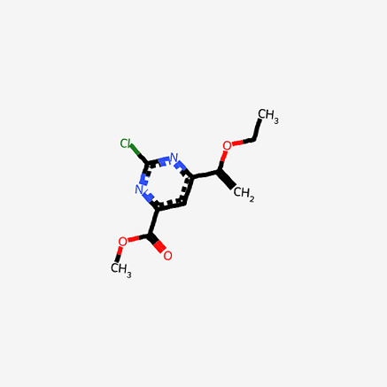 C=C(OCC)c1cc(C(=O)OC)nc(Cl)n1